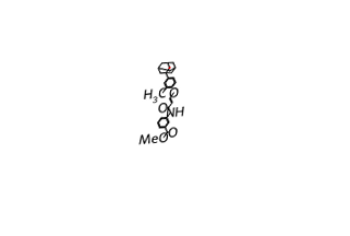 COC(=O)c1cccc(NC(=O)/C=C/Oc2ccc(C34CC5CC(CC(C5)C3)C4)cc2C)c1